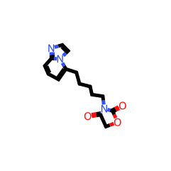 O=C1COC(=O)N1CCCCCc1cccc2nccn12